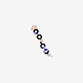 CS(=O)(=O)c1ccc([C@H]2CC[C@H](OCC3CCN(c4ncc(C(F)(F)F)cn4)CC3)CC2)nc1